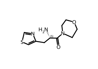 N[C@@H](Cc1cscn1)C(=O)N1CCOCC1